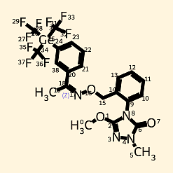 COc1nn(C)c(=O)n1-c1ccccc1CO/N=C(/C)c1ccc[c]([Ge]([C](F)(F)F)([C](F)(F)F)[C](F)(F)F)c1